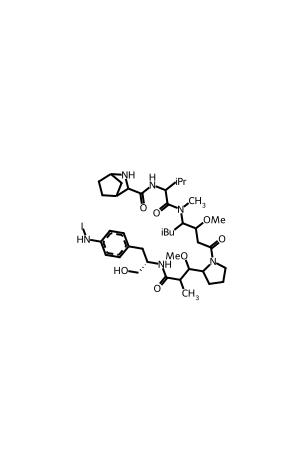 CCC(C)C(C(CC(=O)N1CCCC1C(OC)C(C)C(=O)N[C@H](CO)Cc1ccc(NI)cc1)OC)N(C)C(=O)C(NC(=O)C1NC2CCC1C2)C(C)C